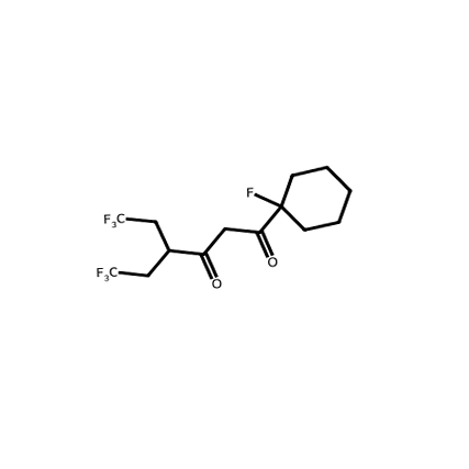 O=C(CC(=O)C1(F)CCCCC1)C(CC(F)(F)F)CC(F)(F)F